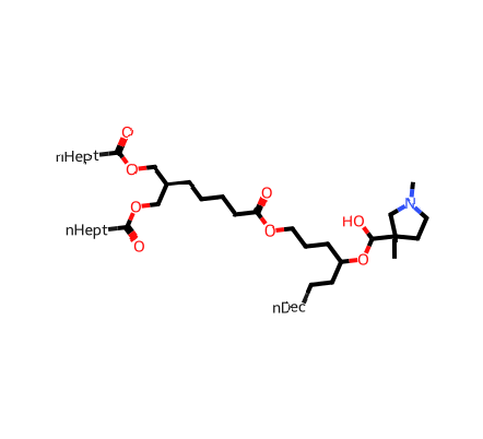 CCCCCCCCCCCCC(CCCOC(=O)CCCCC(COC(=O)CCCCCCC)COC(=O)CCCCCCC)OC(O)C1(C)CCN(C)C1